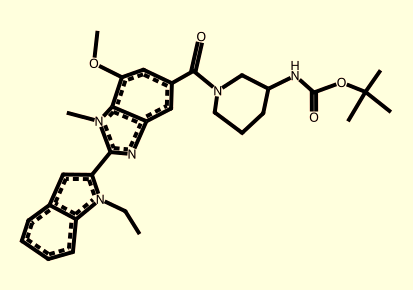 CCn1c(-c2nc3cc(C(=O)N4CCCC(NC(=O)OC(C)(C)C)C4)cc(OC)c3n2C)cc2ccccc21